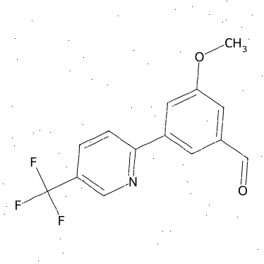 COc1cc(C=O)cc(-c2ccc(C(F)(F)F)cn2)c1